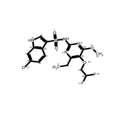 CCc1nc(NS(=O)(=O)c2c[nH]c3cc(Cl)ccc23)nc(OC)c1OCC(F)F